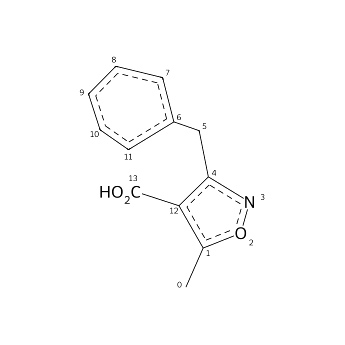 Cc1onc(Cc2ccccc2)c1C(=O)O